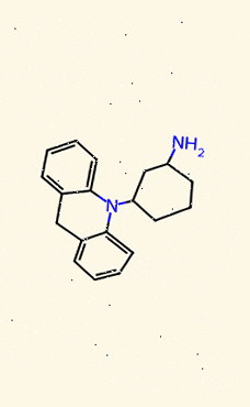 NC1CCCC(N2c3ccccc3Cc3ccccc32)C1